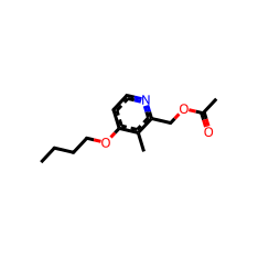 CCCCOc1ccnc(COC(C)=O)c1C